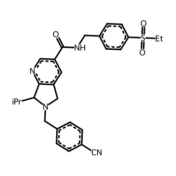 CCS(=O)(=O)c1ccc(CNC(=O)c2cnc3c(c2)CN(Cc2ccc(C#N)cc2)C3C(C)C)cc1